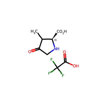 CC1C(=O)CN[C@@H]1C(=O)O.O=C(O)C(F)(F)F